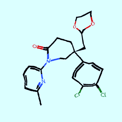 Cc1cccc(N2C[C@@](CC3OCCO3)(c3ccc(Cl)c(Cl)c3)CCC2=O)n1